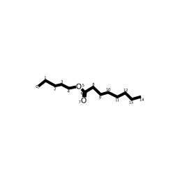 [CH2]CCCCOC(=O)CCCCCCC